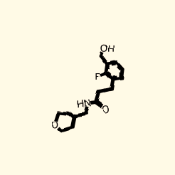 O=C(CCc1cccc(CO)c1F)NCC1CCOCC1